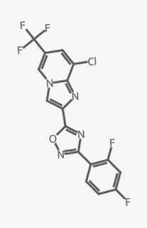 Fc1ccc(-c2noc(-c3cn4cc(C(F)(F)F)cc(Cl)c4n3)n2)c(F)c1